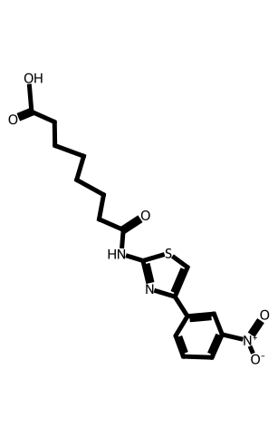 O=C(O)CCCCCCC(=O)Nc1nc(-c2cccc([N+](=O)[O-])c2)cs1